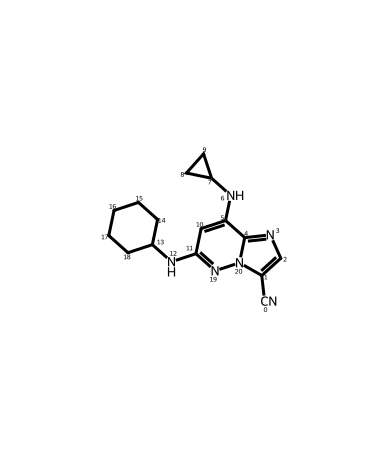 N#Cc1cnc2c(NC3CC3)cc(NC3CCCCC3)nn12